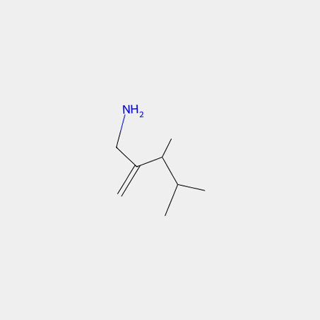 C=C(CN)C(C)C(C)C